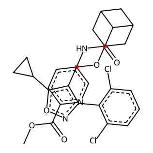 COC(=O)c1ccc(NC(=O)C2C3CC(OCc4c(-c5c(Cl)cccc5Cl)noc4C4CC4)CC2C3)cn1